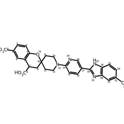 O=C(O)c1ccc2c(c1)C(C(=O)O)CC1(CCN(c3ccc(-c4nc5cc(C(F)(F)F)ccc5[nH]4)cn3)CC1)O2